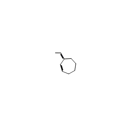 C/C=C1\C=CCCCC1